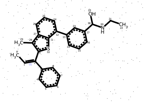 C/C=C(/c1ccccc1)c1sc2c(-c3cccc(C(O)NCC)c3)cccc2c1C